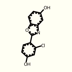 Oc1ccc(-c2nc3cc(O)ccc3o2)c(Cl)c1